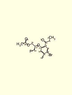 CCC(=O)c1cc(Br)c(F)cc1O[C@@H](CF)COC(C)=O